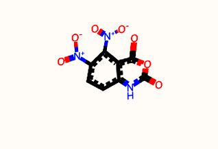 O=c1[nH]c2ccc([N+](=O)[O-])c([N+](=O)[O-])c2c(=O)o1